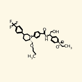 CCCCOC[C@@H]1CCC(c2ccc(C(F)(F)F)cc2)CN1c1ccc(C(=O)N[C@@H](CO)c2ccc(S(=O)(=O)CC)cc2)cc1